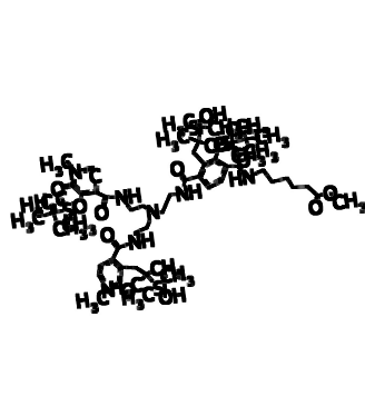 COC(=O)CCCCCNC(=O)c1ccc(C(=O)NCCN(CCNC(=O)c2ccn(C)c(=O)c2CC(C)(C)[Si](C)(C)O)CCNC(=O)c2ccn(C)c(=O)c2O[Si](C)(C)C(C)(C)C)c(CC(C)(C)[Si](C)(C)O)c1O[Si](C)(C)C(C)(C)C